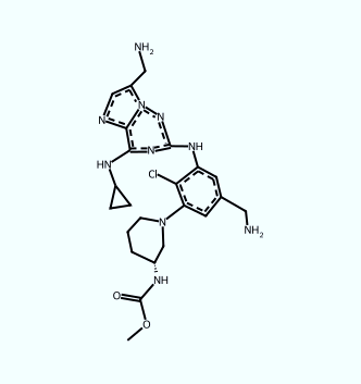 COC(=O)N[C@@H]1CCCN(c2cc(CN)cc(Nc3nc(NC4CC4)c4ncc(CN)n4n3)c2Cl)C1